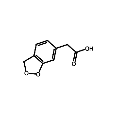 O=C(O)Cc1ccc2c(c1)OOC2